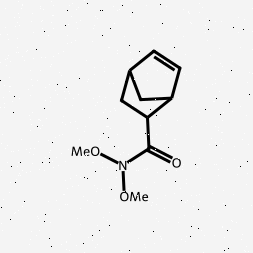 CON(OC)C(=O)C1CC2C=CC1C2